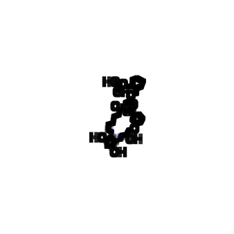 O=C(CCC/C=C\C[C@@H]1[C@@H](/C=C/[C@@H](O)COc2cccc(Cl)c2)[C@H](O)C[C@@H]1O)NCC(=O)OCc1ccccc1CON(O)O